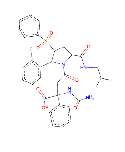 CC(C)CNC(=O)C1CC(S(=O)(=O)c2ccccc2)C(c2ccccc2F)N1C(=O)CC(NC(N)=O)(C(=O)O)c1ccccc1